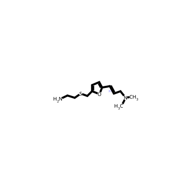 CN(C)C/C=C/c1ccc(CSCCN)o1